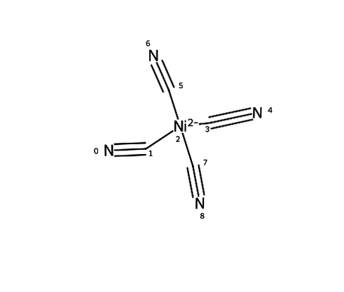 N#[C][Ni-2]([C]#N)([C]#N)[C]#N